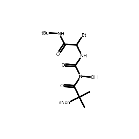 CCCCCCCCCC(C)(C)C(=O)N(O)C(=O)NC(CC)C(=O)NC(C)(C)C